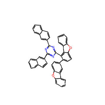 c1ccc2cc(-c3nc(-c4ccc5ccccc5c4)nc(-c4c(-c5ccc6oc7ccccc7c6c5)ccc5oc6ccccc6c45)n3)ccc2c1